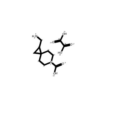 NCC1CC12CCN(C(=O)O)CC2.O=C(O)C(=O)O